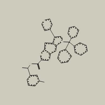 Cc1cccc(C(C)NC(=O)c2nc3cc4c(-c5ccncc5)nn(C(c5ccccc5)(c5ccccc5)c5ccccc5)c4cc3[nH]2)c1